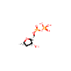 C[C@H]1C[C@@H](O)[C@@H](CO[PH](=O)OP(=O)(O)O)O1